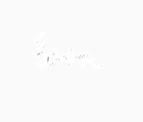 CCCCNC1CN(c2nc(C)c(C(=O)OCC)s2)C1